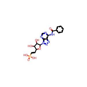 O=C(Nc1ncnc2c1nnn2C1OC(/C=C/P(=O)(O)O)C(O)C1O)c1ccccc1